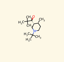 C[C@H]1CCN(C(C)(C)C)C[C@@H]1C(=O)C(C)(C)C